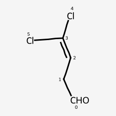 O=CCC=C(Cl)Cl